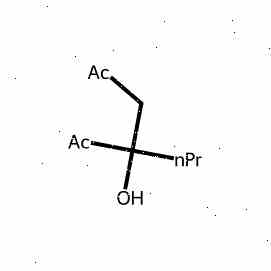 CCCC(O)(CC(C)=O)C(C)=O